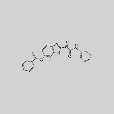 O=C(Nc1ccccc1)Nc1nc2ccc(OC(=O)c3ccccc3)cc2s1